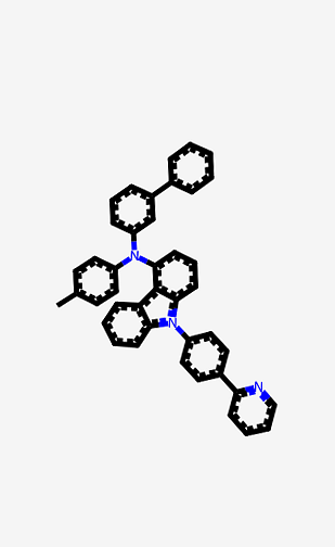 Cc1ccc(N(c2cccc(-c3ccccc3)c2)c2cccc3c2c2ccccc2n3-c2ccc(-c3ccccn3)cc2)cc1